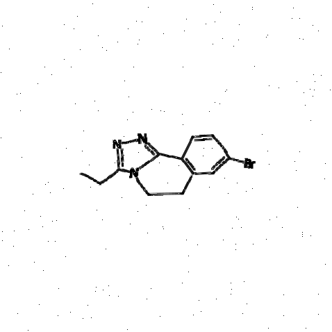 CCc1nnc2n1CCc1cc(Br)ccc1-2